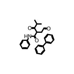 CC(C)C(=O)C(CC=O)C(=O)Nc1ccccc1.c1ccc(-c2ccccc2)cc1